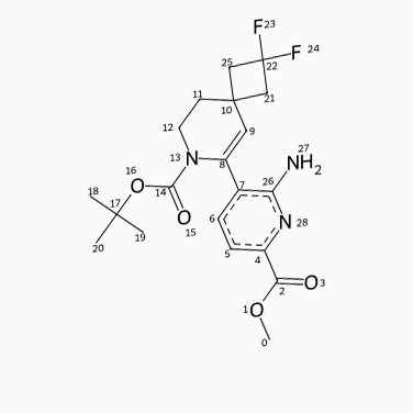 COC(=O)c1ccc(C2=CC3(CCN2C(=O)OC(C)(C)C)CC(F)(F)C3)c(N)n1